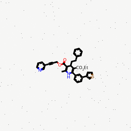 CCOC(=O)C1=C(c2cccc(-c3ccsc3)c2)NC(C)=C(C(=O)OCC#Cc2cccnc2)C1CCc1ccccc1